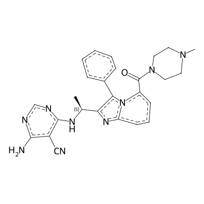 C[C@H](Nc1ncnc(N)c1C#N)c1nc2cccc(C(=O)N3CCN(C)CC3)n2c1-c1ccccc1